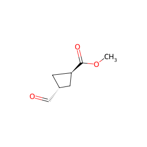 COC(=O)[C@H]1C[C@H](C=O)C1